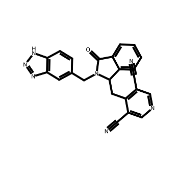 N#Cc1cncc(C#N)c1CC1c2ccccc2C(=O)N1Cc1ccc2[nH]nnc2c1